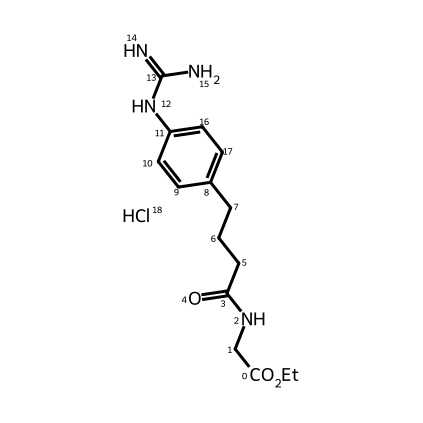 CCOC(=O)CNC(=O)CCCc1ccc(NC(=N)N)cc1.Cl